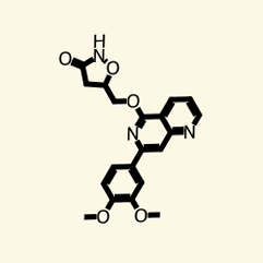 COc1ccc(-c2cc3ncccc3c(OCC3CC(=O)NO3)n2)cc1OC